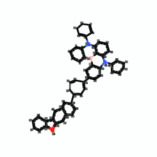 C1=CC(N2c3ccccc3B3c4cc(C5=CC=C(c6ccc7cc8oc9ccccc9c8cc7c6)CC=C5)ccc4N(c4ccccc4)c4cccc2c43)=CCC1